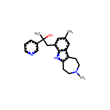 Cc1cc(CC(C)(O)c2cccnc2)c2[nH]c3c(c2c1)CCN(C)CC3